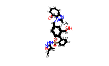 CCCc1nc2c(n1Cc1ccc(-c3ccccc3S(=O)(=O)Nc3noc(C)c3C)c(CO)c1)C(=O)CCCC2